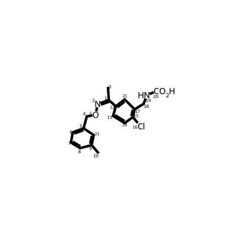 CC(=NOCc1cccc(C)c1)c1ccc(Cl)c(CNC(=O)O)c1